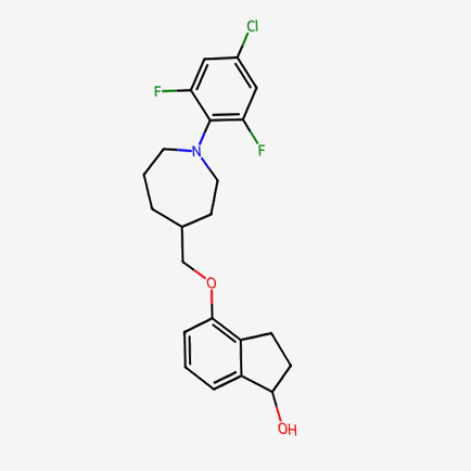 OC1CCc2c(OCC3CCCN(c4c(F)cc(Cl)cc4F)CC3)cccc21